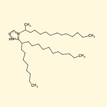 CCCCCCCCCCCCC(C)[n+]1cc[nH]c1C(CCCCCCCC)CCCCCCCCCCC